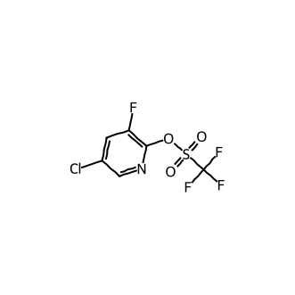 O=S(=O)(Oc1ncc(Cl)cc1F)C(F)(F)F